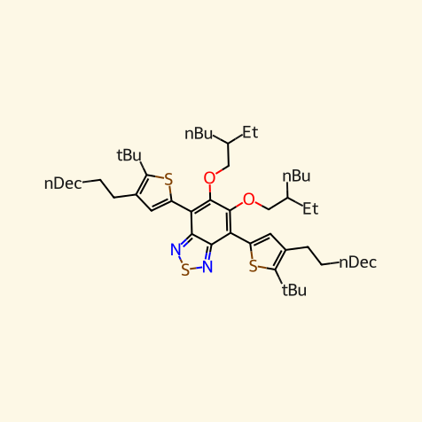 CCCCCCCCCCCCc1cc(-c2c(OCC(CC)CCCC)c(OCC(CC)CCCC)c(-c3cc(CCCCCCCCCCCC)c(C(C)(C)C)s3)c3nsnc23)sc1C(C)(C)C